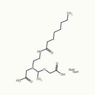 CCCCCCCC(=O)NCCN(CC(=O)O)C(C)OCC(=O)O.[NaH].[NaH]